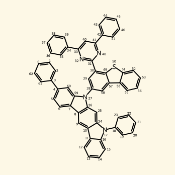 c1ccc(-c2ccc3c4cc5c6ccccc6n(-c6ccccc6)c5cc4n(-c4cc(-c5nc(-c6ccccc6)cc(-c6ccccc6)n5)c5sc6ccccc6c5c4)c3c2)cc1